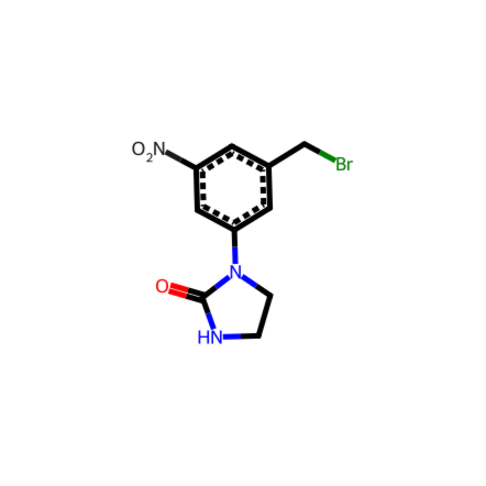 O=C1NCCN1c1cc(CBr)cc([N+](=O)[O-])c1